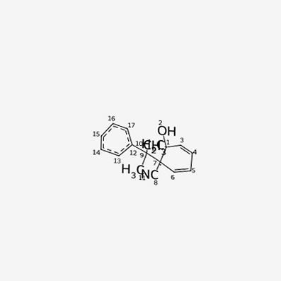 [CH2]C1(O)C=CC=CC1(C#N)C(C)(C)c1ccccc1